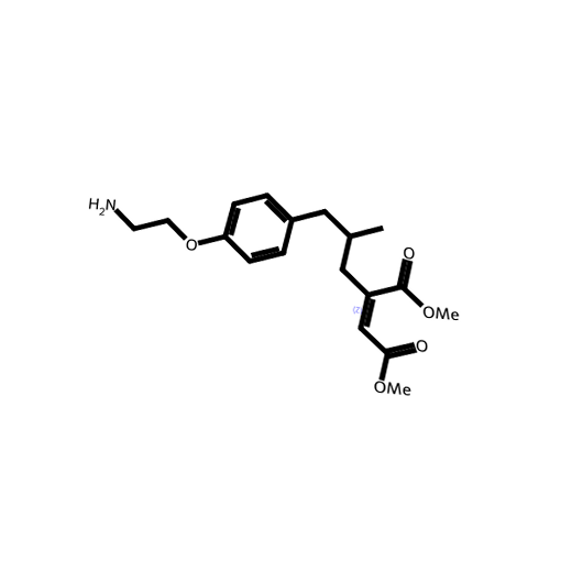 COC(=O)/C=C(/CC(C)Cc1ccc(OCCN)cc1)C(=O)OC